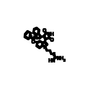 N=C(N)SCCCn1cc(C2=C(c3c[nH]c4ccccc34)C(=O)NC2=O)c2cc(OCc3ccccc3)ccc21